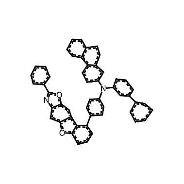 c1ccc(-c2cccc(N(c3ccc(-c4cccc5oc6cc7nc(-c8ccccc8)oc7cc6c45)cc3)c3ccc4c(ccc5ccccc54)c3)c2)cc1